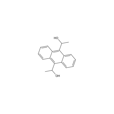 CC(O)c1c2ccccc2c(C(C)O)c2ccccc12